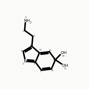 NCCC1=CN=C2C=CC(O)(O)C=C12